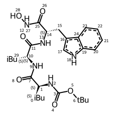 CC[C@H](C)[C@H](NC(=O)OC(C)(C)C)C(=O)N[C@H](C(=O)N[C@@H](Cc1c[nH]c2ccccc12)C(=O)NO)[C@@H](C)CC